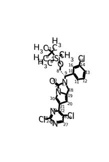 CC(C)(C)[Si](C)(C)OC[C@H](c1cccc(Cl)c1)N1Cc2cc(-c3nc(Cl)ncc3Cl)cn2C1=O